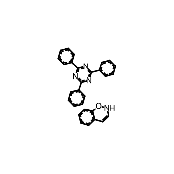 C1=Cc2ccccc2ON1.c1ccc(-c2nc(-c3ccccc3)nc(-c3ccccc3)n2)cc1